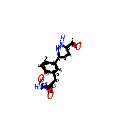 O=CC1CCC(c2ccc3c(c2)CC(=O)NO3)=NN1